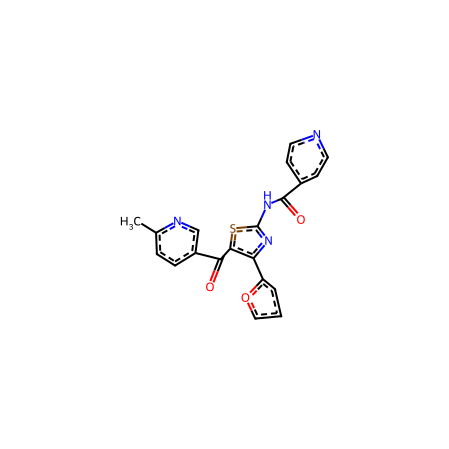 Cc1ccc(C(=O)c2sc(NC(=O)c3ccncc3)nc2-c2ccco2)cn1